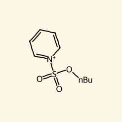 CCCCOS(=O)(=O)[n+]1ccccc1